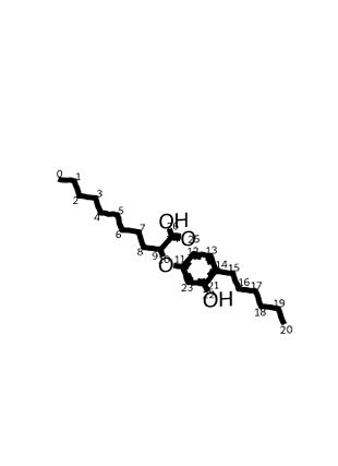 CCCCCCCCCC(Oc1ccc(CCCCCC)c(O)c1)C(=O)O